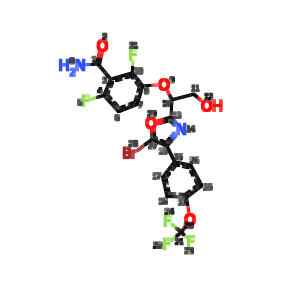 NC(=O)c1c(F)ccc(OC(CO)c2nc(-c3ccc(OC(F)(F)F)cc3)c(Br)o2)c1F